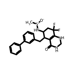 C[S+]([O-])NC1CC(F)(F)C2=C(C(=O)NCN2)C1Cc1cccc(-c2ccccc2)c1